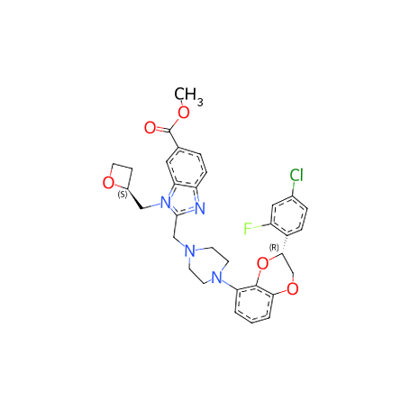 COC(=O)c1ccc2nc(CN3CCN(c4cccc5c4O[C@H](c4ccc(Cl)cc4F)CO5)CC3)n(C[C@@H]3CCO3)c2c1